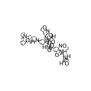 CC(C)Oc1ccccc1[C@@H]1CCCN1C1CC2(CCN(c3ccc(C(=O)NS(=O)(=O)c4cc5c(c([N+](=O)[O-])c4)N[C@@H](CN4C[C@H]6C[C@@H]4CO6)CO5)c(N4c5cc6ccoc6nc5O[C@@H]5COC[C@H]54)c3)CC2)C1